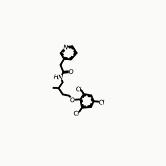 CC(CCOc1c(Cl)cc(Cl)cc1Cl)CNC(=O)Cc1cccnc1